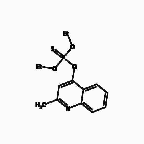 CCOP(=S)(OCC)Oc1cc(C)nc2ccccc12